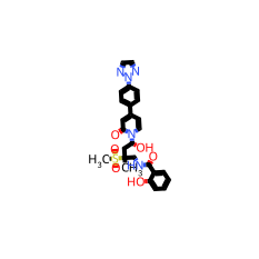 CC(CNC(=O)c1ccccc1O)(CC(O)n1ccc(-c2ccc(-n3nccn3)cc2)cc1=O)S(C)(=O)=O